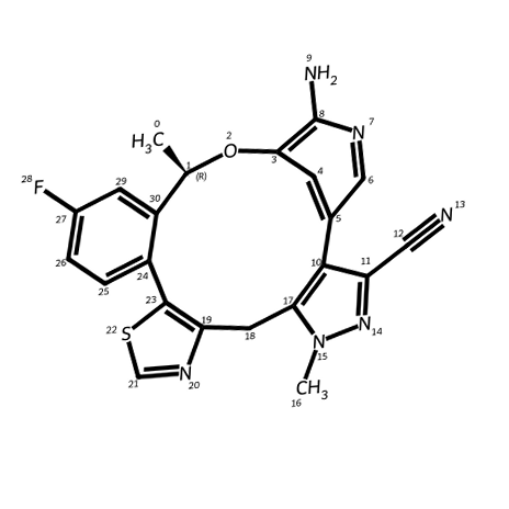 C[C@H]1Oc2cc(cnc2N)-c2c(C#N)nn(C)c2Cc2ncsc2-c2ccc(F)cc21